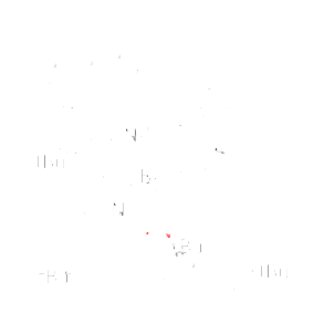 CC(C)(C)c1ccc(-c2ccc(-c3cc(C(C)(C)C)ccc3N3c4cc(C(C)(C)C)ccc4B4c5cc6c(cc5N(c5ccc7c(c5)C(C)(C)CCC7(C)C)c5cc(C(C)(C)C)cc3c54)C(C)(C)CCC6(C)C)cc2)cc1